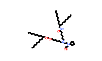 CCCCCCCCC(CCCCCCCC)CNC(=O)CCCCCN(CCCCCCOCOCC(CCCCCCCC)CCCCCCCC)CCN(CCO)C1CCCC1